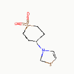 O=S1(=O)CCC(N2C=CSC2)CC1